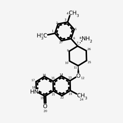 Cc1cc(C)cc([C@]2(N)CC[C@H](Oc3cc4cc[nH]c(=O)c4cc3C)CC2)c1